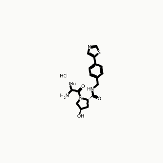 CC(C)(C)C(N)C(=O)N1C[C@H](O)C[C@H]1C(=O)NCc1ccc(-c2cncs2)cc1.Cl